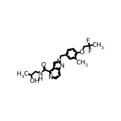 Cc1cc(Cn2cc3c(C(=O)NCC(C)O)nccc3n2)ccc1OCC(C)(F)F